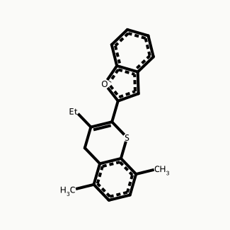 CCC1=C(c2cc3ccccc3o2)Sc2c(C)ccc(C)c2C1